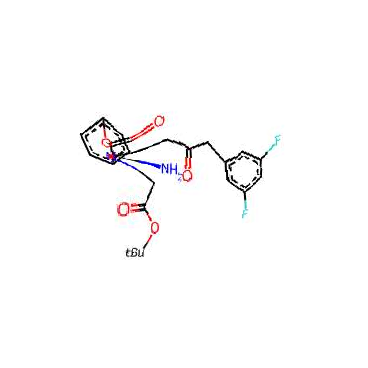 CC(C)(C)OC(=O)CN1c2ccc(cc2)OC(=O)[C@]1(N)CC(=O)Cc1cc(F)cc(F)c1